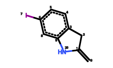 C=C1Cc2ccc(I)cc2N1